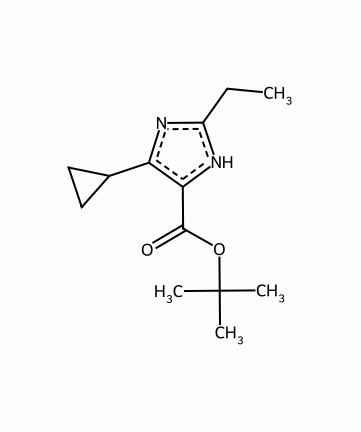 CCc1nc(C2CC2)c(C(=O)OC(C)(C)C)[nH]1